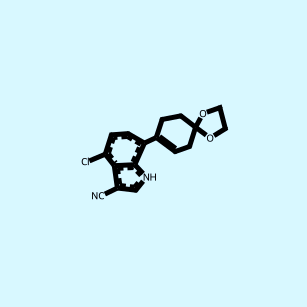 N#Cc1c[nH]c2c(C3=CCC4(CC3)OCCO4)ccc(Cl)c12